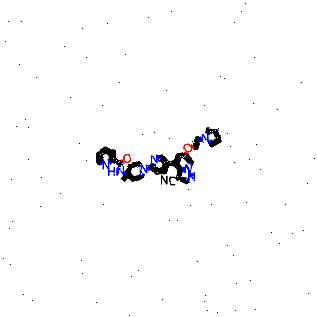 CC1(NC(=O)c2ccccn2)CCN(c2ccc(C3=CC(OCCN4CCCC4)=CN4N=CC(C#N)C34)cn2)CC1